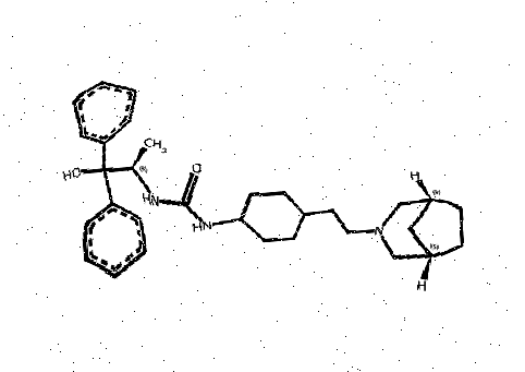 C[C@@H](NC(=O)NC1CCC(CCN2C[C@@H]3CC[C@@H](C3)C2)CC1)C(O)(c1ccccc1)c1ccccc1